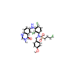 COc1ccc(CN(c2ccc(F)c(Nc3ccc4ncn(C)c(=O)c4c3)c2F)S(=O)(=O)CCCF)cc1